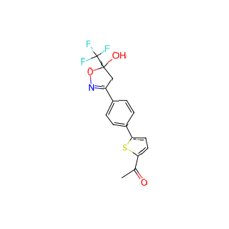 CC(=O)c1ccc(-c2ccc(C3=NOC(O)(C(F)(F)F)C3)cc2)s1